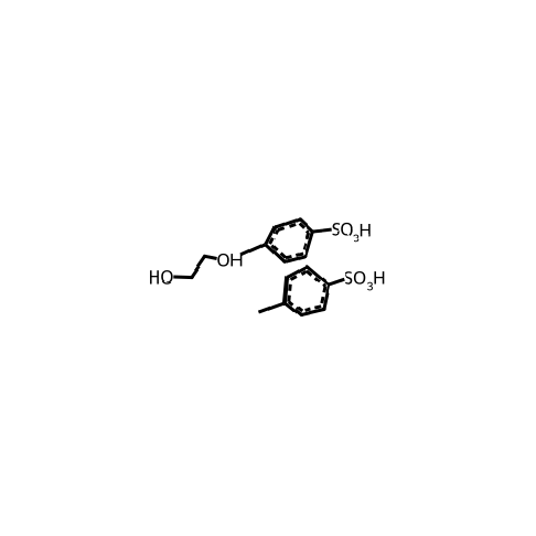 Cc1ccc(S(=O)(=O)O)cc1.Cc1ccc(S(=O)(=O)O)cc1.OCCO